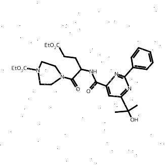 CCOC(=O)CCC(NC(=O)c1cc(C(C)(C)O)nc(-c2ccccc2)n1)C(=O)N1CCN(C(=O)OCC)CC1